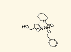 O=C(NOCc1ccccc1)N1CCCC[C@H]1C1=NO[C@@H](CO)C1